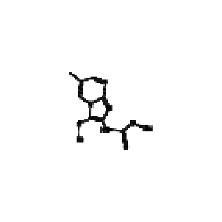 CCSc1c(NC(=O)OC(C)(C)C)nc2ccc(C)cn12